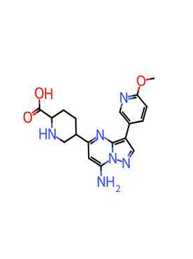 COc1ccc(-c2cnn3c(N)cc(C4CCC(C(=O)O)NC4)nc23)cn1